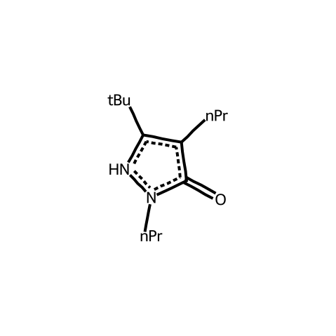 CCCc1c(C(C)(C)C)[nH]n(CCC)c1=O